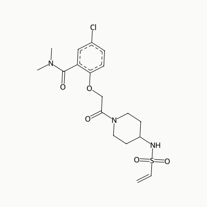 C=CS(=O)(=O)NC1CCN(C(=O)COc2ccc(Cl)cc2C(=O)N(C)C)CC1